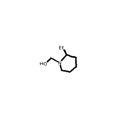 CCC1CCCCN1[CH]O